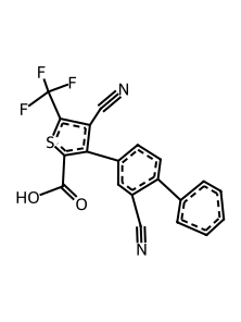 N#Cc1cc(-c2c(C(=O)O)sc(C(F)(F)F)c2C#N)ccc1-c1ccccc1